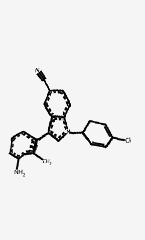 Cc1c(N)cccc1-c1cn(C2C=CC(Cl)=CC2)c2ccc(C#N)cc12